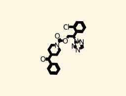 O=C(c1ccccc1)C1CCN(C(=O)OCC(c2ccccc2Cl)n2ncnn2)CC1